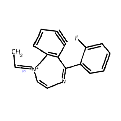 C/C=[N+]1/C=CN=C(c2ccccc2F)c2c#cccc21